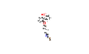 Oc1ccccc1-c1ccccc1OCSCCCCN=C=S